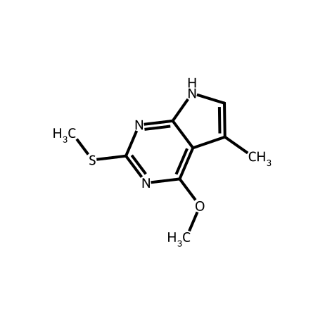 COc1nc(SC)nc2[nH]cc(C)c12